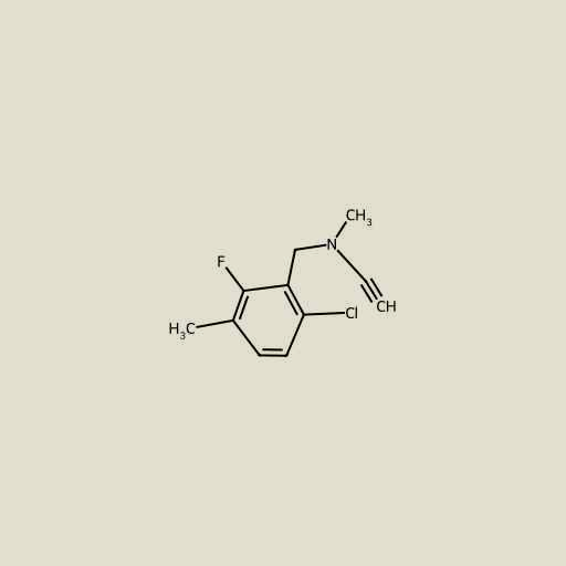 C#CN(C)Cc1c(Cl)ccc(C)c1F